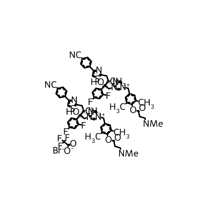 CNCCC(=O)Oc1c(C)cc(C[n+]2cnn(C[C@](O)(c3ccc(F)cc3F)[C@H](C)Cc3nc(-c4ccc(C#N)cc4)cs3)c2)cc1C.CNCCC(=O)Oc1c(C)cc(C[n+]2cnn(C[C@](O)(c3ccc(F)cc3F)[C@H](C)Cc3nc(-c4ccc(C#N)cc4)cs3)c2)cc1C.O=C([O-])C(F)(F)F.[Br-]